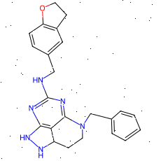 c1ccc(CN2CCC3NNc4nc(NCc5ccc6c(c5)CCO6)nc2c43)cc1